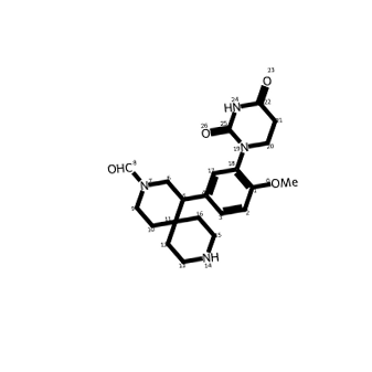 COc1ccc(C2CN(C=O)CCC23CCNCC3)cc1N1CCC(=O)NC1=O